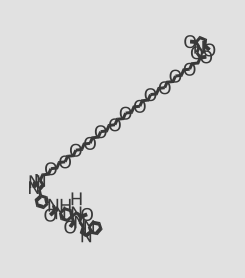 O=C(CCOCCOCCOCCOCCOCCOCCOCCOCCOCCOCCOCCOCCn1cc(-c2cccc(NC(=O)N3CCC4(CC3)NC(=O)N(c3cnc5ccccn35)C4=O)c2)nn1)ON1C(=O)CCC1=O